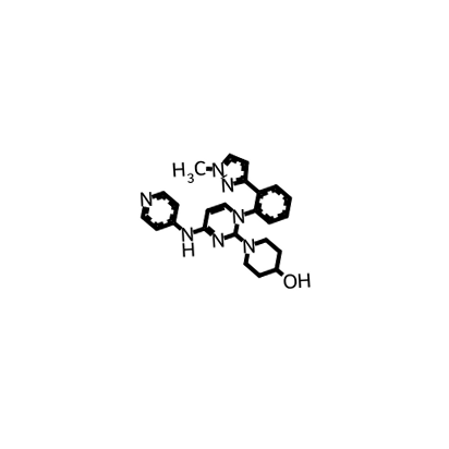 Cn1ccc(-c2ccccc2N2C=CC(Nc3ccncc3)=NC2N2CCC(O)CC2)n1